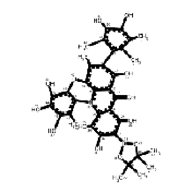 Bc1c(-c2c(C)c(C)c(O)c(O)c2C)c(O)c2c(=O)c3c(O)c(B4OC(C)(C)C(C)(C)O4)c(O)c(O)c3n3c2c1Oc1c(O)c(O)c(O)c(C)c1-3